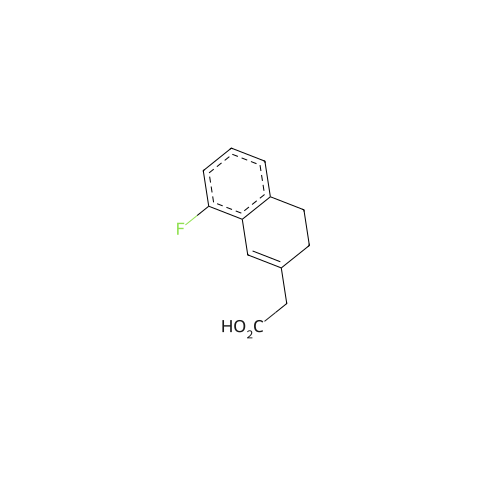 O=C(O)CC1=Cc2c(F)cccc2CC1